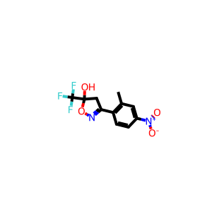 Cc1cc([N+](=O)[O-])ccc1C1=NOC(O)(C(F)(F)F)C1